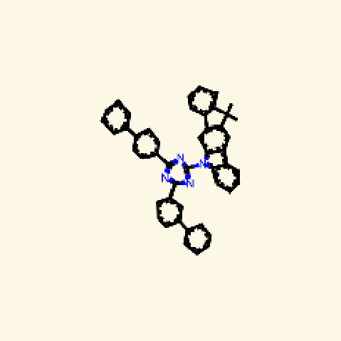 CC1(C)c2ccccc2-c2cc3c(cc21)c1ccccc1n3-c1nc(-c2ccc(-c3ccccc3)cc2)nc(-c2cccc(-c3ccccc3)c2)n1